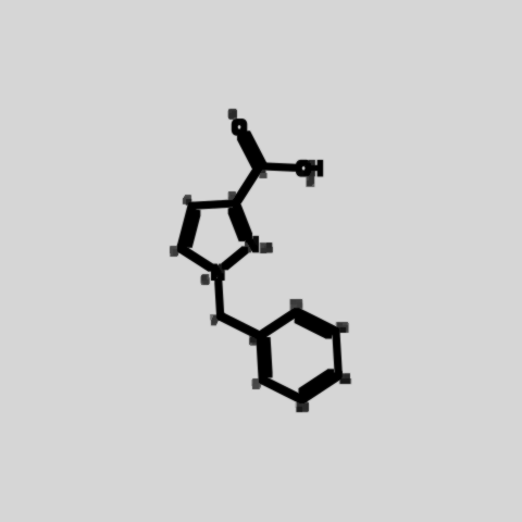 O=C(O)c1ccn(Cc2ccccc2)n1